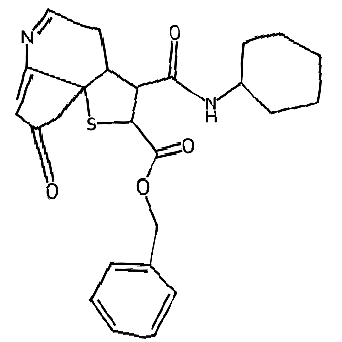 O=C1CC=C2N=CCC3C(C(=O)NC4CCCCC4)C(C(=O)OCc4ccccc4)SC23C1